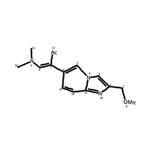 COCc1cn2cc(C(=CN(C)C)C(C)=O)ccc2n1